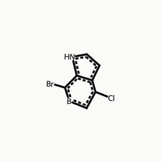 Clc1cbc(Br)c2[nH]ccc12